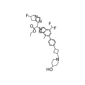 CCOC(=O)C(c1ncn2c1C[C@@H](F)C2)n1cc2c(C(F)F)cc(-c3ccc(C4CC(CN5CCC(O)CC5)C4)cc3)c(C)c2n1